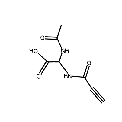 C#CC(=O)NC(NC(C)=O)C(=O)O